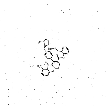 Cc1cccc(F)c1C(=O)N1CCC[C@H](C(=O)Nc2ccccc2CCO)[C@@H]1C1C=CC(CN2CCCC2C(F)(F)F)=CC1